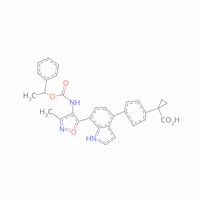 Cc1noc(-c2ccc(-c3ccc(C4(C(=O)O)CC4)cc3)c3cc[nH]c23)c1NC(=O)OC(C)c1ccccc1